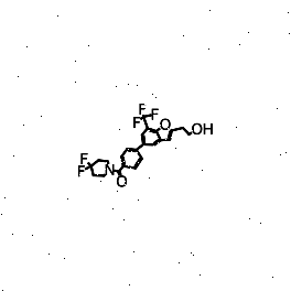 O=C(c1ccc(-c2cc(C(F)(F)F)c3oc(CCO)cc3c2)cc1)N1CCC(F)(F)CC1